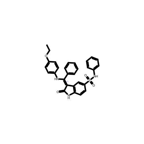 CCOc1ccc(N/C(=C2\C(=O)Nc3ccc(S(=O)(=O)Nc4ccccc4)cc32)c2ccccc2)cc1